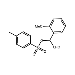 COc1ccccc1C(C=O)OS(=O)(=O)c1ccc(C)cc1